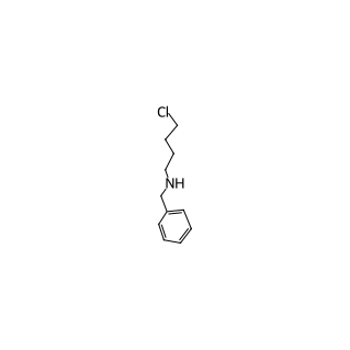 ClCCCCNCc1ccccc1